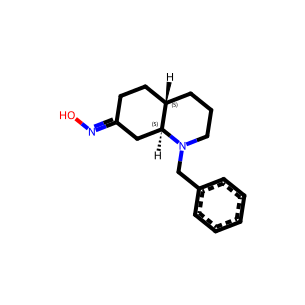 ON=C1CC[C@@H]2CCCN(Cc3ccccc3)[C@H]2C1